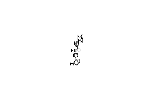 Cc1cnc(-n2cc(C(=O)Nc3ccc([C@H]4CNCCO4)cc3)cn2)cn1